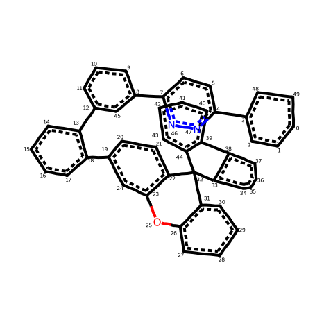 c1ccc(-c2ccc(-c3cccc(-c4ccccc4-c4ccc5c(c4)Oc4ccccc4C54c5ccccc5-c5ccccc54)c3)nn2)cc1